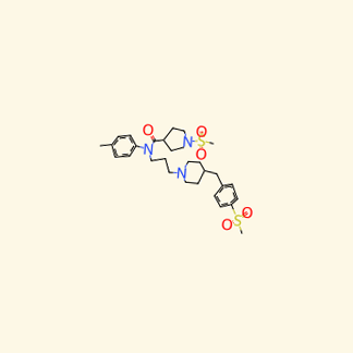 Cc1ccc(N(CCCN2CCC(Cc3ccc(S(C)(=O)=O)cc3)CC2)C(=O)C2CCN(S(C)(=O)=O)CC2)cc1